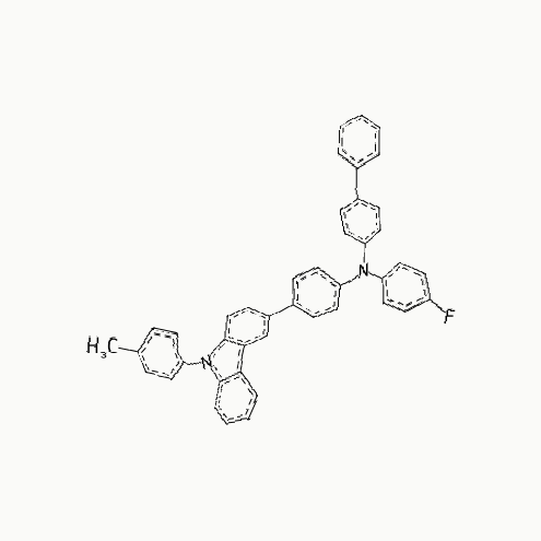 Cc1ccc(-n2c3ccccc3c3cc(-c4ccc(N(c5ccc(F)cc5)c5ccc(-c6ccccc6)cc5)cc4)ccc32)cc1